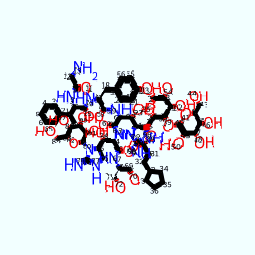 CC(c1ccccc1)[C@H](NC(=O)CN)C(=O)N[C@@H](Cc1ccc(OC2OC(COC(=O)CCC3CCCC3)C(OC3OC(CO)C(O)C(O)C3O)C(O)C2O)cc1)C(=O)N[C@H](C(=O)N[C@H](C(=O)N[C@H]([C]=O)CO)C(O)C1CNC(=N)N1C1OC(CO)C(O)C(O)C1O)C(O)C1CNC(=N)N1